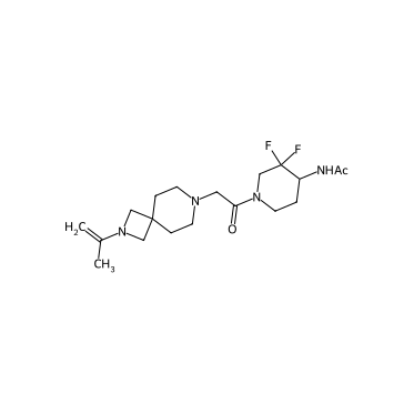 C=C(C)N1CC2(CCN(CC(=O)N3CCC(NC(C)=O)C(F)(F)C3)CC2)C1